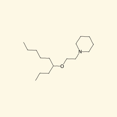 CCCCCC(CCC)OCCN1CCCCC1